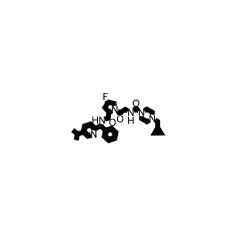 CC(C)c1ccc(C(NC(=O)C2CC(F)CN2C(=O)CNC(=O)N2CCN(CC3CC3)CC2)c2ccccc2)nc1